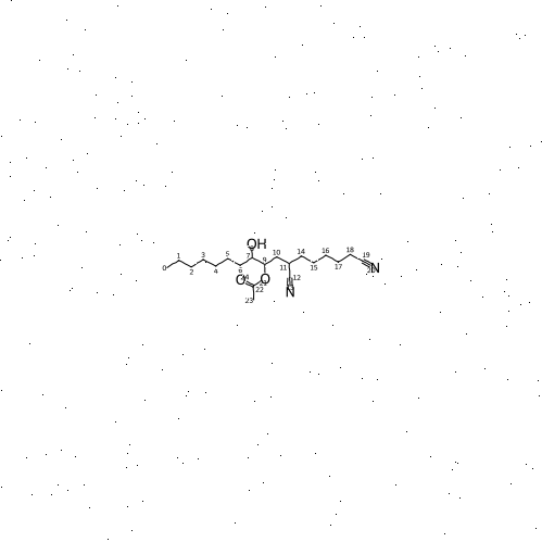 CCCCCCCC(O)C(CC(C#N)CCCCCC#N)OC(C)=O